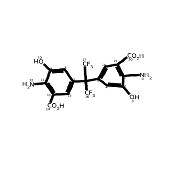 Nc1c(O)cc(C(c2cc(O)c(N)c(C(=O)O)c2)(C(F)(F)F)C(F)(F)F)cc1C(=O)O